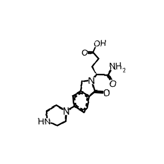 NC(=O)[C@H](CCC(=O)O)N1Cc2cc(N3CCNCC3)ccc2C1=O